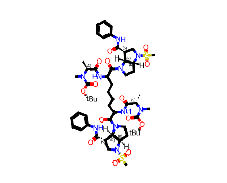 C[C@@H](C(=O)NC(CCCCC(NC(=O)[C@H](C)N(C)C(=O)OC(C)(C)C)C(=O)N1CC[C@@H]2[C@H]1[C@@H](C(=O)Nc1ccccc1)CN2S(C)(=O)=O)C(=O)N1CC[C@@H]2[C@H]1[C@@H](C(=O)Nc1ccccc1)CN2S(C)(=O)=O)N(C)C(=O)OC(C)(C)C